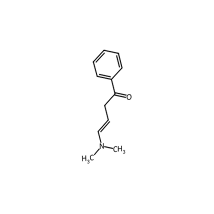 CN(C)C=CCC(=O)c1ccccc1